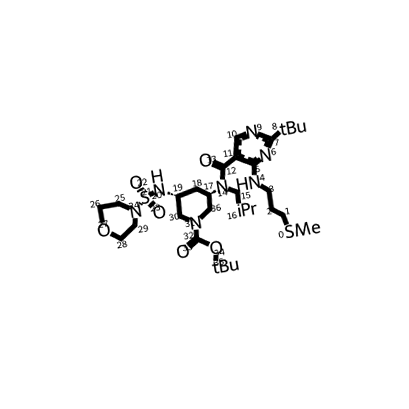 CSCCCNc1nc(C(C)(C)C)ncc1C(=O)N(CC(C)C)[C@H]1C[C@@H](NS(=O)(=O)N2CCOCC2)CN(C(=O)OC(C)(C)C)C1